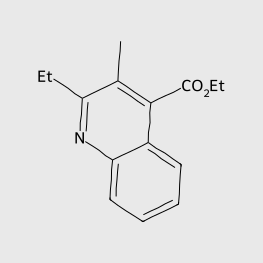 CCOC(=O)c1c(C)c(CC)nc2ccccc12